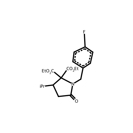 CCOC(=O)C1(C(=O)OCC)C(C(C)C)CC(=O)N1Cc1ccc(F)cc1